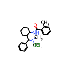 Cc1ccccc1C(=O)NC1CCCCC1C(c1ccccc1)N(C)C.Cl